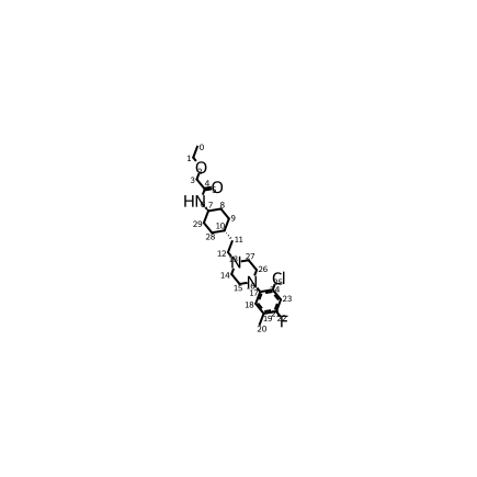 CCOCC(=O)N[C@H]1CC[C@H](CCN2CCN(c3cc(C)c(F)cc3Cl)CC2)CC1